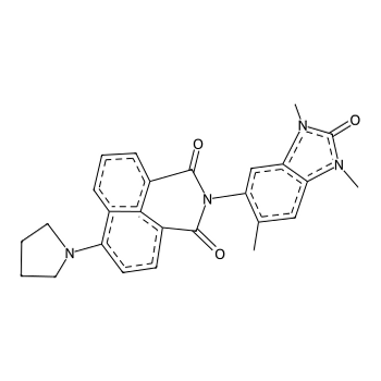 Cc1cc2c(cc1N1C(=O)c3cccc4c(N5CCCC5)ccc(c34)C1=O)n(C)c(=O)n2C